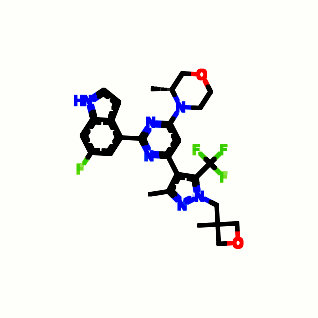 Cc1nn(CC2(C)COC2)c(C(F)(F)F)c1-c1cc(N2CCOC[C@H]2C)nc(-c2cc(F)cc3[nH]ccc23)n1